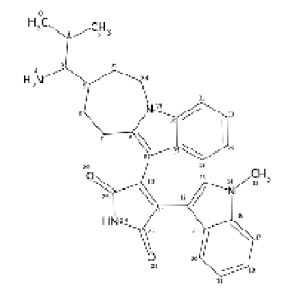 CC(C)C(N)C1CCc2c(C3=C(c4cn(C)c5ccccc45)C(=O)NC3=O)c3ccccc3n2CC1